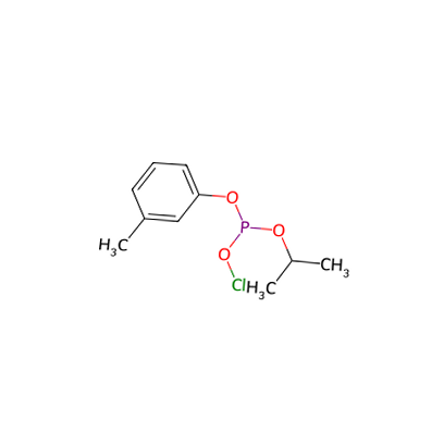 Cc1cccc(OP(OCl)OC(C)C)c1